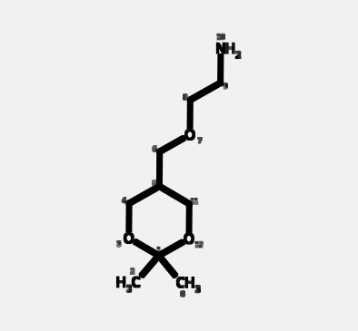 CC1(C)OCC(COCCN)CO1